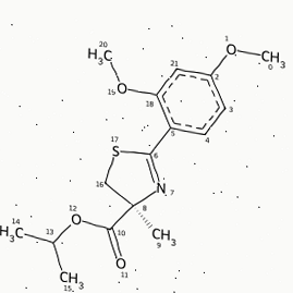 COc1ccc(C2=N[C@@](C)(C(=O)OC(C)C)CS2)c(OC)c1